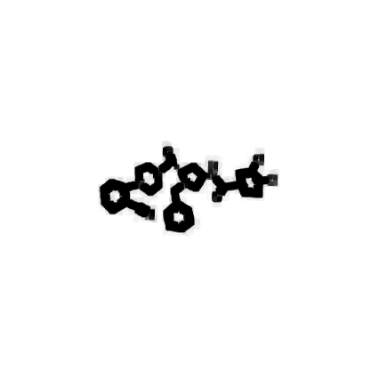 N#Cc1ccccc1N1CCN(C(=O)[C@@H]2C[C@H](NC(=O)c3ccc(Cl)c(Cl)c3)CN2Cc2ccccc2)CC1